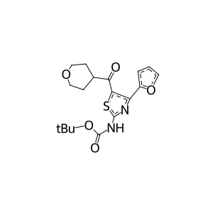 CC(C)(C)OC(=O)Nc1nc(-c2ccco2)c(C(=O)C2CCOCC2)s1